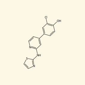 Oc1ccc(-c2ccnc(Nc3nccs3)c2)cc1Cl